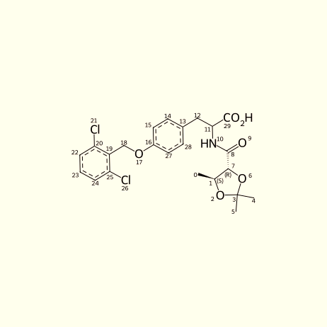 C[C@@H]1OC(C)(C)O[C@H]1C(=O)NC(Cc1ccc(OCc2c(Cl)cccc2Cl)cc1)C(=O)O